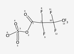 O=C(OS(=O)(=O)Cl)C(F)(F)C(F)(F)C(F)(F)F